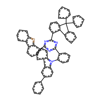 c1ccc(-c2ccc3c(c2)c2ccccc2n3-c2ccccc2-c2nc(-c3cccc4c3-c3ccccc3C4(c3ccccc3)c3ccccc3)nc(-c3cccc4c3sc3ccccc34)n2)cc1